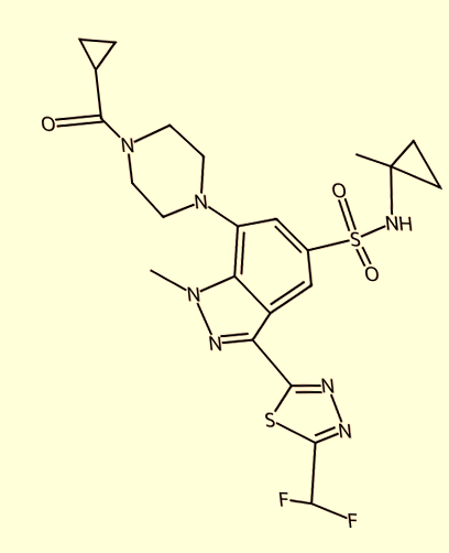 Cn1nc(-c2nnc(C(F)F)s2)c2cc(S(=O)(=O)NC3(C)CC3)cc(N3CCN(C(=O)C4CC4)CC3)c21